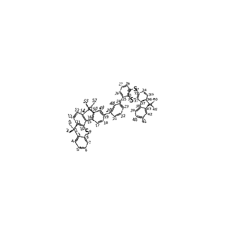 CC1(C)c2ccccc2Sc2c1ccc1c2-c2ccc(-c3cccc(-c4cccc5c4Sc4c(ccc6c4-c4ccccc4C6(C)C)S5)c3)cc2C1(C)C